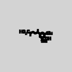 CC(CCC(C)c1cc(C(C)(C)C)c(O)c(C(C)(C)C)c1)C(=O)O